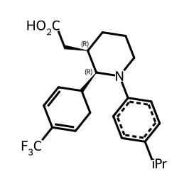 CC(C)c1ccc(N2CCC[C@H](CC(=O)O)[C@@H]2C2C=CC(C(F)(F)F)=CC2)cc1